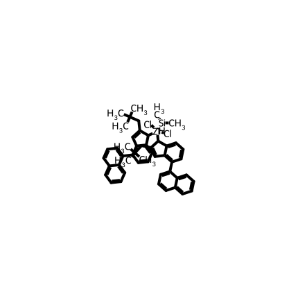 C[SiH](C)[Zr]([Cl])([Cl])([CH]1C(CC(C)(C)C)=Cc2c(-c3cccc4ccccc34)cccc21)[CH]1C(CC(C)(C)C)=Cc2c(-c3cccc4ccccc34)cccc21